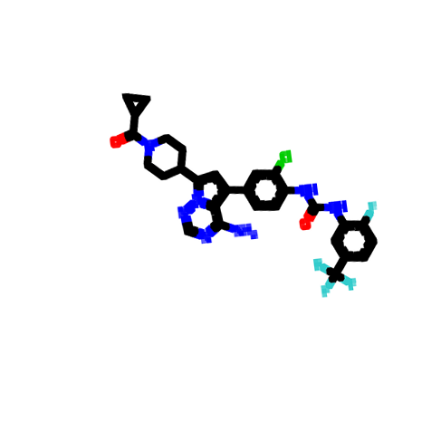 Nc1ncnn2c(C3CCN(C(=O)C4CC4)CC3)cc(-c3ccc(NC(=O)Nc4cc(C(F)(F)F)ccc4F)c(Cl)c3)c12